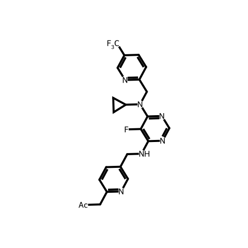 CC(=O)Cc1ccc(CNc2ncnc(N(Cc3ccc(C(F)(F)F)cn3)C3CC3)c2F)cn1